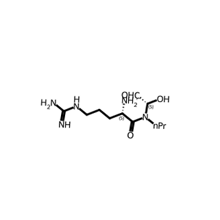 CCCN(C(=O)[C@@H](N)CCCNC(=N)N)[C@@H](O)[C]=O